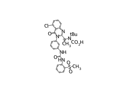 C[C@@H](c1nc2cccc(Cl)c2c(=O)n1-c1cccc(NC(=O)Nc2ccccc2S(C)(=O)=O)c1)N(C(=O)O)C(C)(C)C